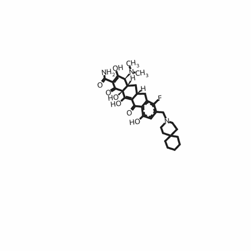 CN(C)[C@@H]1C(O)=C(C(N)=O)C(=O)[C@@]2(O)C(O)=C3C(=O)c4c(O)cc(CN5CCC6(CCCCC6)CC5)c(F)c4C[C@H]3C[C@@H]12